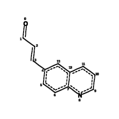 O=CC=Cc1ccc2ncccc2c1